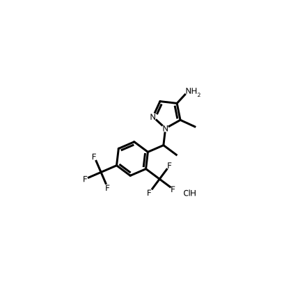 Cc1c(N)cnn1C(C)c1ccc(C(F)(F)F)cc1C(F)(F)F.Cl